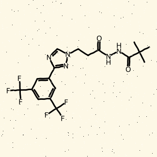 CC(C)(C)C(=O)NNC(=O)CCn1cnc(-c2cc(C(F)(F)F)cc(C(F)(F)F)c2)n1